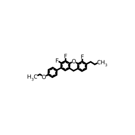 CCCc1ccc2c(c1F)Oc1c(cc(-c3ccc(OCC)cc3)c(F)c1F)C2